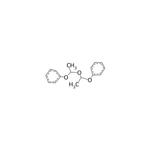 CC(Oc1ccccc1)OC(C)Oc1ccccc1